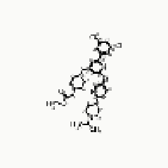 COC(=O)CC1CCN(Cc2cc(Oc3cnc(N4CCN(C(C)C)CC4)nc3)nc(-c3cc(Cl)cc(Cl)c3)c2)CC1